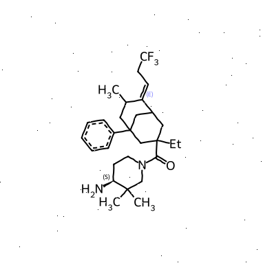 CCC1(C(=O)N2CC[C@H](N)C(C)(C)C2)CC2CC(c3ccccc3)(CC(C)/C2=C\CC(F)(F)F)C1